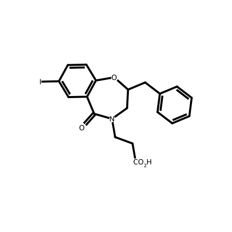 O=C(O)CCN1CC(Cc2ccccc2)Oc2ccc(I)cc2C1=O